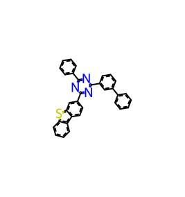 c1ccc(-c2cccc(-c3nc(-c4ccccc4)nc(-c4ccc5c(c4)sc4ccccc45)n3)c2)cc1